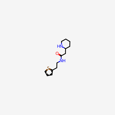 O=C(CC1CCCCN1)NCCc1cccs1